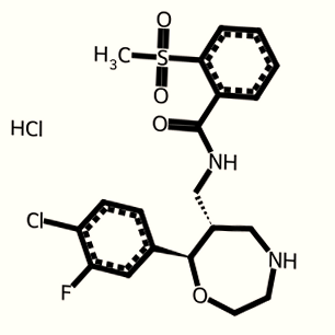 CS(=O)(=O)c1ccccc1C(=O)NC[C@@H]1CNCCO[C@H]1c1ccc(Cl)c(F)c1.Cl